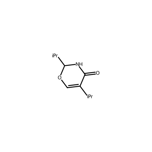 CC(C)C1=COC(C(C)C)NC1=O